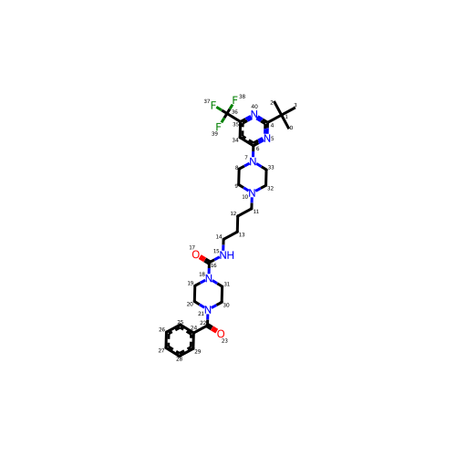 CC(C)(C)c1nc(N2CCN(CCCCNC(=O)N3CCN(C(=O)c4ccccc4)CC3)CC2)cc(C(F)(F)F)n1